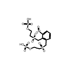 O=[N+]([O-])c1cccc(CS(=O)(=O)CCOS(=O)(=O)O)c1CS(=O)(=O)CCOS(=O)(=O)O